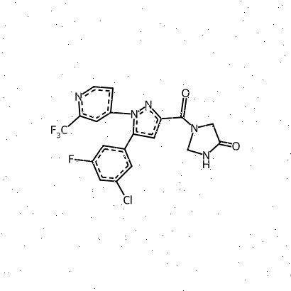 O=C1CN(C(=O)c2cc(-c3cc(F)cc(Cl)c3)n(-c3ccnc(C(F)(F)F)c3)n2)CN1